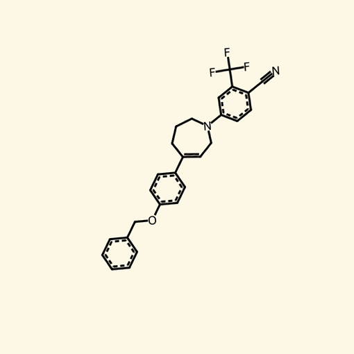 N#Cc1ccc(N2CC=C(c3ccc(OCc4ccccc4)cc3)CCC2)cc1C(F)(F)F